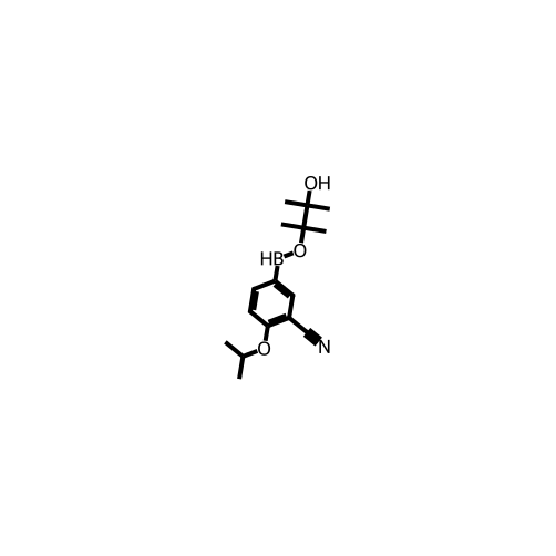 CC(C)Oc1ccc(BOC(C)(C)C(C)(C)O)cc1C#N